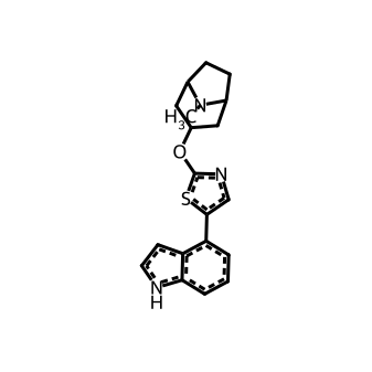 CN1C2CCC1CC(Oc1ncc(-c3cccc4[nH]ccc34)s1)C2